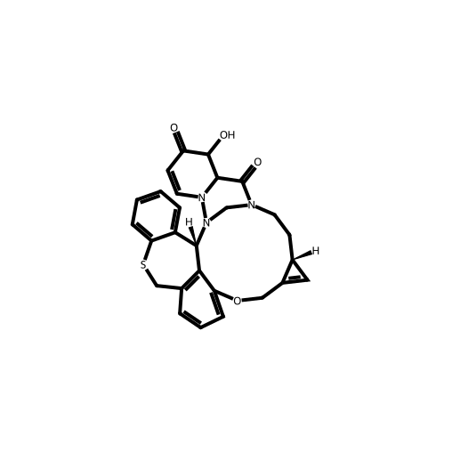 O=C1C=CN2C(C(=O)N3CC[C@@H]4C=C4COc4cccc5c4[C@H](c4ccccc4SC5)N2C3)C1O